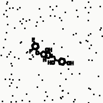 Oc1ccc([C@@H](O)CN2C[C@@H]3C[C@@H](Oc4ccc(F)cc4F)C[C@]3(O)C2)cc1